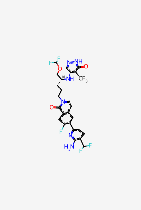 Nc1nc(-c2cc3ccn(CCC[C@H](COC(F)F)Nc4cn[nH]c(=O)c4C(F)(F)F)c(=O)c3cc2F)ccc1C(F)F